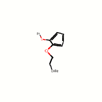 CCOc1c[c]ccc1OCCOC